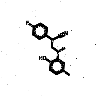 Cc1ccc(O)c(C(C)CC(C#N)c2ccc(F)cc2)c1